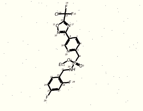 CCOP(=O)(Cc1ccc(-c2noc(C(F)(F)Cl)n2)cn1)NCc1ccc(F)cc1F